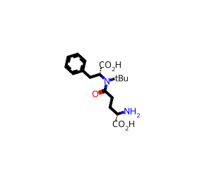 CC(C)(C)N(C(=O)CC[C@H](N)C(=O)O)[C@H](Cc1ccccc1)C(=O)O